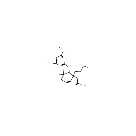 CCCCC1(CC(=O)O)C=CCC(C)(C)C1Sc1nc(OC)cc(OC)n1